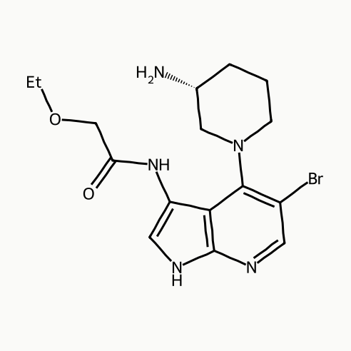 CCOCC(=O)Nc1c[nH]c2ncc(Br)c(N3CCC[C@@H](N)C3)c12